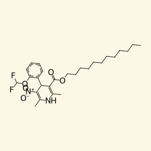 CCCCCCCCCCCCOC(=O)C1=C(C)NC(C)=C([N+](=O)[O-])C1c1ccccc1OC(F)F